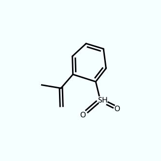 C=C(C)c1ccccc1[SH](=O)=O